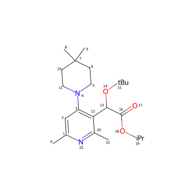 Cc1cc(N2CCC(C)(C)CC2)c(C(OC(C)(C)C)C(=O)OC(C)C)c(C)n1